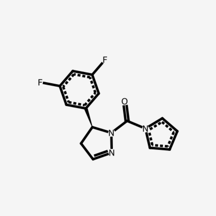 O=C(N1N=CC[C@H]1c1cc(F)cc(F)c1)n1cccc1